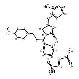 COC1CCN(CCC(c2ccccc2)N2CC(Cc3ccccc3Br)OC2=O)CC1.O=C(O)C=CC(=O)O